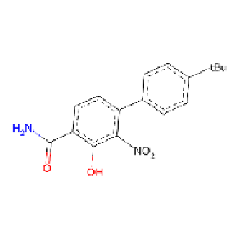 CC(C)(C)c1ccc(-c2ccc(C(N)=O)c(O)c2[N+](=O)[O-])cc1